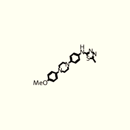 COc1ccc(N2CCN(c3ccc(Nc4nnc(C)s4)cc3)CC2)cc1